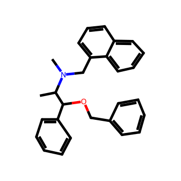 CC(C(OCc1ccccc1)c1ccccc1)N(C)Cc1cccc2ccccc12